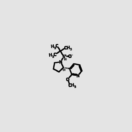 COc1ncccc1[C@@H]1CCCN1[S@+]([O-])C(C)(C)C